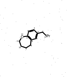 CC(C)Cc1ccc2c(c1)CCCCO2